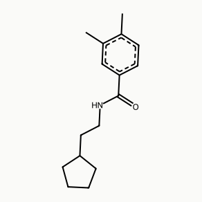 Cc1ccc(C(=O)NCCC2CCCC2)cc1C